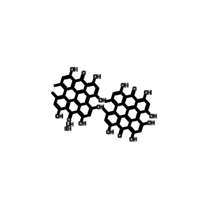 Cc1cc(O)c2c(=O)c3c(O)cc(O)c4c5c(O)cc(O)c6c(=O)c7c(O)cc(C)c8c1c2c(c34)c(c78)c65.Cc1cc(O)c2c(=O)c3c(O)cc(O)c4c5c(O)cc(O)c6c(=O)c7c(O)cc(C)c8c1c2c(c34)c(c78)c65.[KH].[LiH]